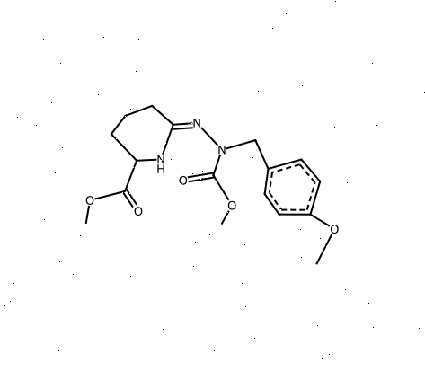 COC(=O)C1CCCC(=NN(Cc2ccc(OC)cc2)C(=O)OC)N1